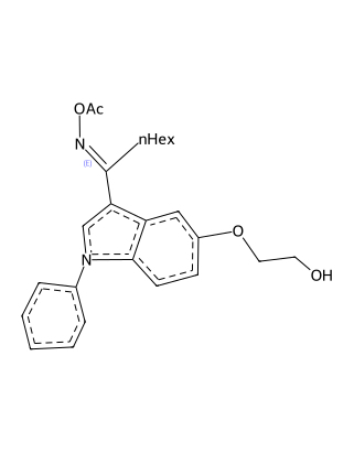 CCCCCC/C(=N\OC(C)=O)c1cn(-c2ccccc2)c2ccc(OCCO)cc12